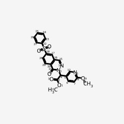 COC(=O)C(c1ccc(OC)nc1)n1ncc2cc(S(=O)(=O)c3ccccc3)ccc2c1=O